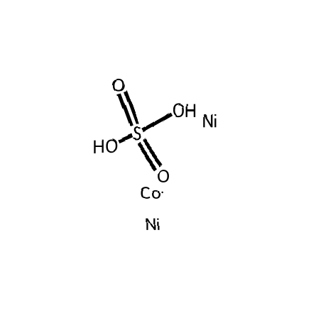 O=S(=O)(O)O.[Co].[Ni].[Ni]